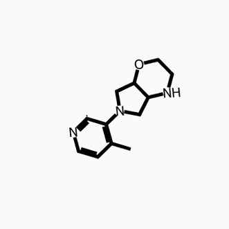 Cc1ccn[c]c1N1CC2NCCOC2C1